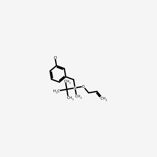 C=CCO[Si](C)(Cc1cccc(Cl)c1)C(C)(C)C